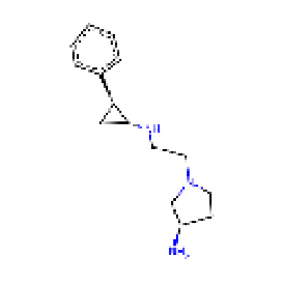 N[C@@H]1CCN(CCN[C@@H]2C[C@H]2c2ccccc2)C1